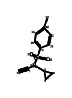 C#CN(C1CC1)S(=O)(=O)c1ccc(C)cc1